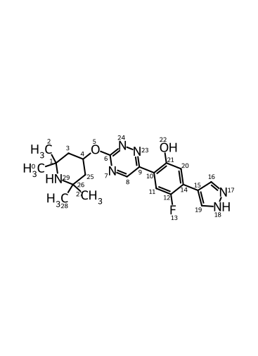 CC1(C)CC(Oc2ncc(-c3cc(F)c(-c4cn[nH]c4)cc3O)nn2)CC(C)(C)N1